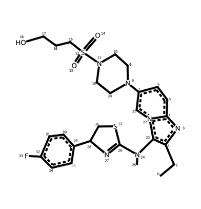 CCc1nc2ccc(N3CCN(S(=O)(=O)CCCO)CC3)cn2c1N(C)C1=NC(c2ccc(F)cc2)CS1